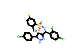 Cc1ccc(F)cc1S(=O)(=O)N[C@H](C1=NNC(c2ccc(Cl)cc2)C1)c1ccc(Cl)cc1Cl